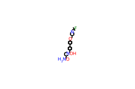 CC(C)(F)CN1CCC(COc2ccc(-c3ccc(C(O)N4CCCC(C(N)=O)C4)cc3)cc2)CC1